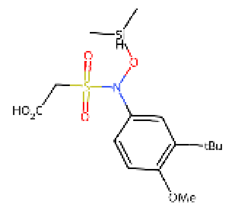 COc1ccc(N(O[SiH](C)C)S(=O)(=O)CC(=O)O)cc1C(C)(C)C